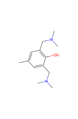 Cc1cc(CN(C)C)c(O)c(CN(C)C)c1